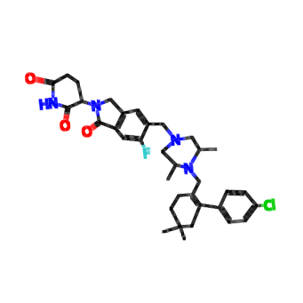 CC1CN(Cc2cc3c(cc2F)C(=O)N(C2CCC(=O)NC2=O)C3)CC(C)N1CC1=C(c2ccc(Cl)cc2)CC(C)(C)CC1